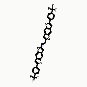 FC(F)(F)c1ccc(-c2cc3cc4sc(/C=C/c5cc6cc7sc(-c8ccc(C(F)(F)F)cc8)cc7cc6s5)cc4cc3s2)cc1